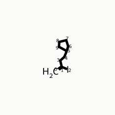 C=C(I)CCC1CCCC1